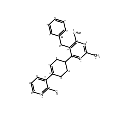 COc1nc(C)nc(C2CC=C(c3cccnc3Cl)CC2)c1Cc1ccccc1